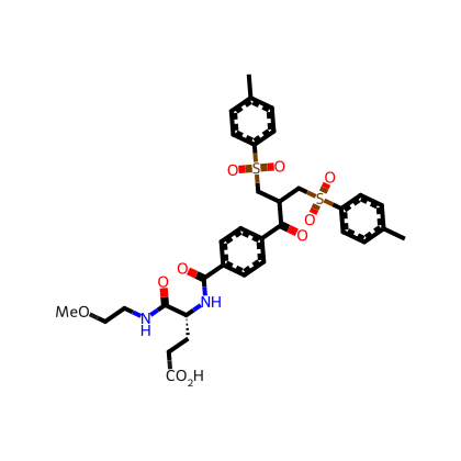 COCCNC(=O)[C@@H](CCC(=O)O)NC(=O)c1ccc(C(=O)C(CS(=O)(=O)c2ccc(C)cc2)CS(=O)(=O)c2ccc(C)cc2)cc1